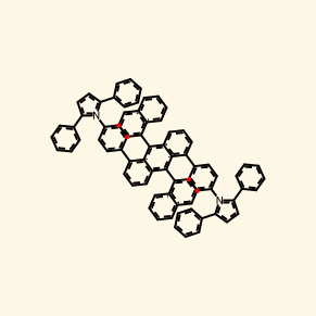 c1ccc(-c2ccc(-c3ccccc3)n2-c2ccc(-c3cccc4c(-c5cccc6ccccc56)c5c(-c6ccc(-n7c(-c8ccccc8)ccc7-c7ccccc7)cc6)cccc5c(-c5cccc6ccccc56)c34)cc2)cc1